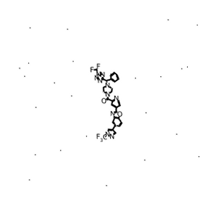 O=C(c1cc(-c2nc3cc(-c4cnn(C(F)(F)F)c4)ccc3o2)ccn1)N1CCN([C@H](c2ccccc2)c2nnn(C(F)F)n2)CC1